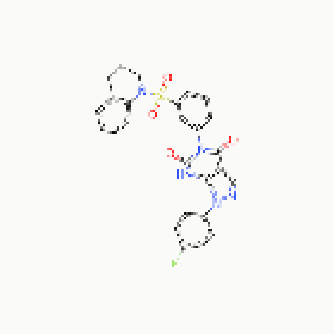 O=c1[nH]c2c(cnn2-c2ccc(F)cc2)c(=O)n1-c1cccc(S(=O)(=O)N2CCCc3ccccc32)c1